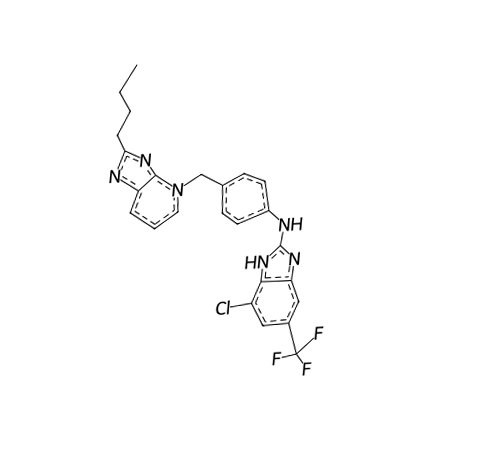 CCCCc1nc2cccn(Cc3ccc(Nc4nc5cc(C(F)(F)F)cc(Cl)c5[nH]4)cc3)c-2n1